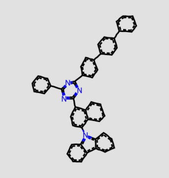 c1ccc(-c2ccc(-c3ccc(-c4nc(-c5ccccc5)nc(-c5ccc(-n6c7ccccc7c7ccccc76)c6ccccc56)n4)cc3)cc2)cc1